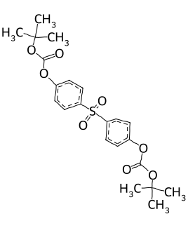 CC(C)(C)OC(=O)Oc1ccc(S(=O)(=O)c2ccc(OC(=O)OC(C)(C)C)cc2)cc1